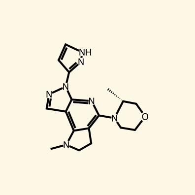 C[C@@H]1COCCN1c1nc2c(cnn2-c2cc[nH]n2)c2c1CCN2C